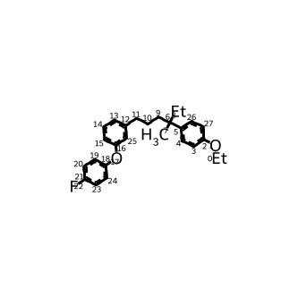 CCOc1ccc(C(C)(CC)CCCc2cccc(Oc3ccc(F)cc3)c2)cc1